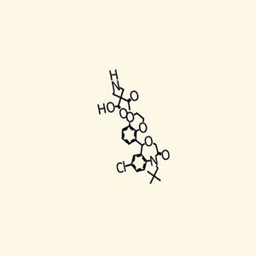 CC(=O)C1(C(=O)O)CNC1.CC(C)(C)CN1C(=O)COC(c2cccc3c2OCCO3)c2cc(Cl)ccc21